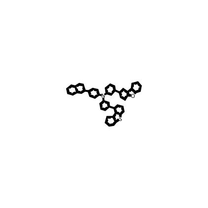 c1cc(-c2ccc3oc4ccccc4c3c2)cc(N(c2ccc(-c3ccc4ccccc4c3)cc2)c2cccc(-c3cccc4sc5ccccc5c34)c2)c1